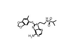 Cc1cc2c(cc1Sc1nc3c(N)ncnc3n1CCNS(=O)(=O)C(C)C)OCO2